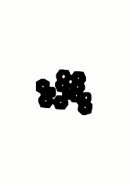 c1cc(-c2cccc3c2oc2ccccc23)cc(N(c2ccc3oc4ccccc4c3c2)c2ccccc2-c2cccc3cccc(C4CCCCC4)c23)c1